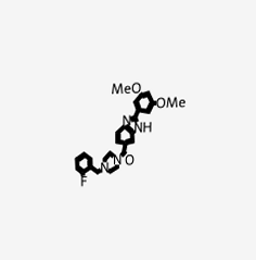 COc1cc(OC)cc(-c2nc3ccc(C(=O)N4CCN(Cc5ccccc5F)CC4)cc3[nH]2)c1